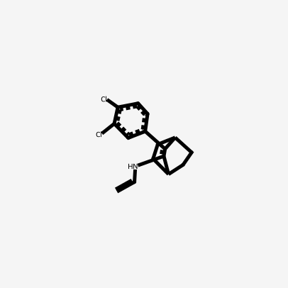 C=CNC1=C(c2ccc(Cl)c(Cl)c2)C2CCC1CC2